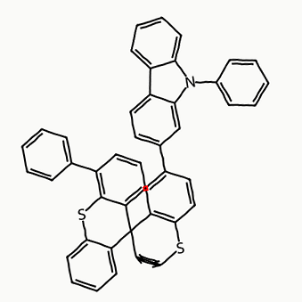 c1ccc(-c2cccc3c2Sc2ccccc2C32c3ccccc3Sc3ccc(-c4ccc5c6ccccc6n(-c6ccccc6)c5c4)cc32)cc1